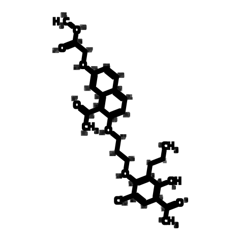 CCCc1c(O)c(C(C)=O)cc(Cl)c1OCCCOc1ccc2ccc(OCC(=O)OC)cc2c1C(C)=O